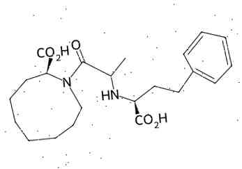 CC(N[C@@H](CCc1ccccc1)C(=O)O)C(=O)N1CCCCCCC[C@H]1C(=O)O